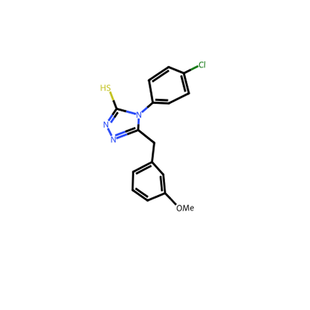 COc1cccc(Cc2nnc(S)n2-c2ccc(Cl)cc2)c1